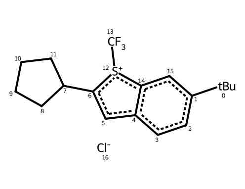 CC(C)(C)c1ccc2cc(C3CCCC3)[s+](C(F)(F)F)c2c1.[Cl-]